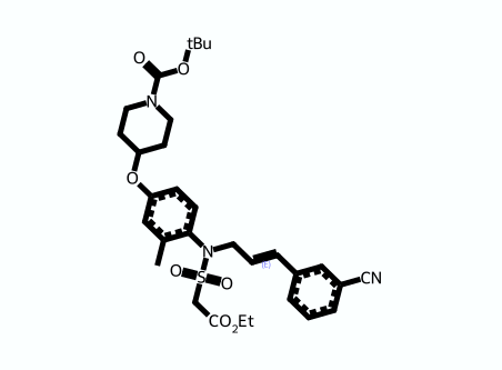 CCOC(=O)CS(=O)(=O)N(C/C=C/c1cccc(C#N)c1)c1ccc(OC2CCN(C(=O)OC(C)(C)C)CC2)cc1C